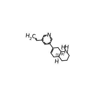 C=Cc1cncc(C2=CC[C@@H]3CCCN[C@@H]3C2)c1